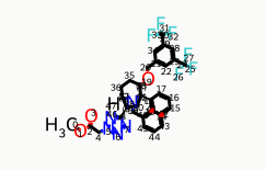 COC(=O)Cn1nnc([C@@H]2C[C@@]3(c4ccccc4)[C@H](OCc4cc(C(F)(F)F)cc(C(F)(F)F)c4)CC[C@@H]2N3Cc2ccccc2)n1